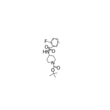 CC(C)(C)OC(=O)N1CCC(NS(=O)(=O)c2c[c]ccc2F)CC1